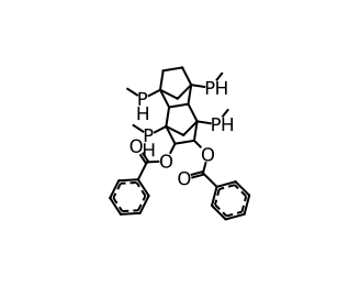 CPC12CCC(PC)(C1)C1C2C2(PC)CC1(PC)C(OC(=O)c1ccccc1)C2OC(=O)c1ccccc1